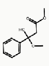 COC(=O)CC(O)(OC)c1ccccc1